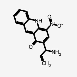 C=CC(N)c1cc([N+](=O)[O-])c2[nH]c3ccccc3cc-2c1=O